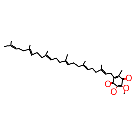 COC1=C(OC)C(=O)C(C/C=C(\C)CC/C=C(\C)CC/C=C(\C)CC/C=C(\C)CC/C=C(\C)CCC=C(C)C)=C(C)C1=O